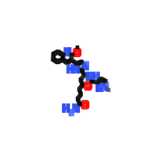 COc1nc2ccccc2cc1-c1cnc([C@H](CCCCCC(N)=O)NC(=O)c2ccn(C)n2)[nH]1